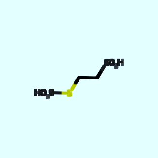 O=S(=O)(O)CCSS(=O)(=O)O